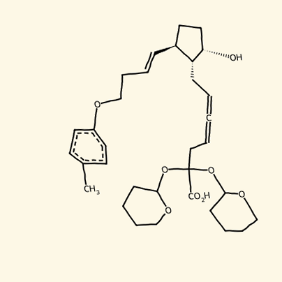 Cc1ccc(OCC/C=C/[C@H]2CC[C@H](O)[C@@H]2CC=C=CCC(OC2CCCCO2)(OC2CCCCO2)C(=O)O)cc1